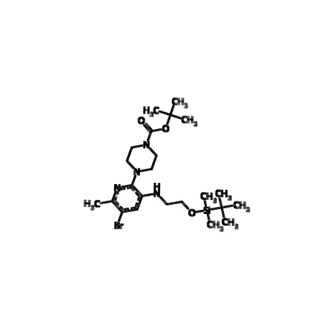 Cc1nc(N2CCN(C(=O)OC(C)(C)C)CC2)c(NCCO[Si](C)(C)C(C)(C)C)cc1Br